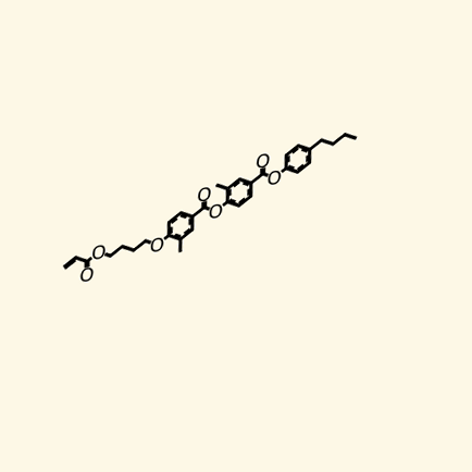 C=CC(=O)OCCCCOc1ccc(C(=O)Oc2ccc(C(=O)Oc3ccc(CCCC)cc3)cc2C)cc1C